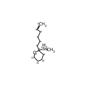 C=CCCCCC1([SiH2]C)CCCCO1